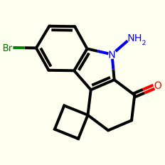 Nn1c2c(c3cc(Br)ccc31)C1(CCC1)CCC2=O